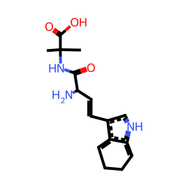 CC(C)(NC(=O)C(N)C=Cc1c[nH]c2c1=CCCC=2)C(=O)O